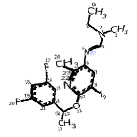 CCN(C)/C=N/c1cc(I)c(O[C@@H](C)c2cc(F)cc(F)c2)nc1C